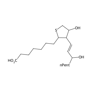 CCCCCC(O)/C=C/C1C(O)CSC1CCCCCCC(=O)O